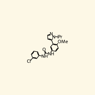 COc1ccc(NC(=O)Nc2cccc(Cl)c2)cc1-c1ccnn1C(C)C